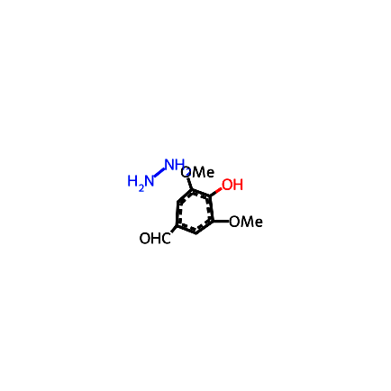 COc1cc(C=O)cc(OC)c1O.NN